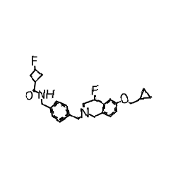 O=C(NCc1ccc(CN2Cc3ccc(OCC4CC4)cc3C(F)C2)cc1)C1CC(F)C1